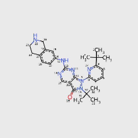 CC(C)(C)c1cccc(-n2c3nc(Nc4ccc5c(c4)CNCC5)ncc3c(=O)n2C(C)(C)C)n1